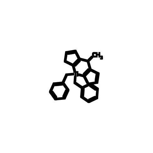 CC1C2=[C](CC=C2)[Ti]([CH2]c2ccccc2)([CH2]c2ccccc2)[C]2=C1C=CC2